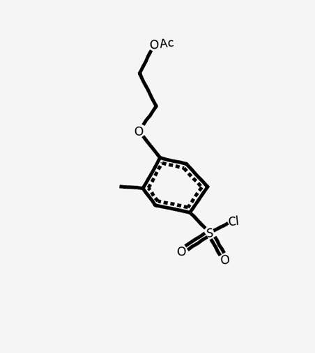 CC(=O)OCCOc1ccc(S(=O)(=O)Cl)cc1C